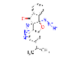 CC(C)c1ccc2c(c1)OC1(N=[N+]=[N-])c3ccccc3C(=O)C21N=[N+]=[N-]